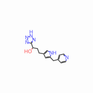 OC(CCc1c[nH]c(Cc2ccncc2)c1)c1nn[nH]n1